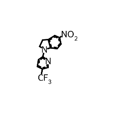 O=[N+]([O-])c1ccc2c(c1)CCN2c1ccc(C(F)(F)F)cn1